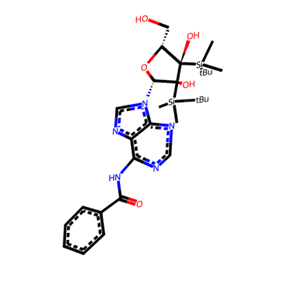 CC(C)(C)[Si](C)(C)[C@@]1(O)[C@@H](CO)O[C@@H](n2cnc3c(NC(=O)c4ccccc4)ncnc32)[C@@]1(O)[Si](C)(C)C(C)(C)C